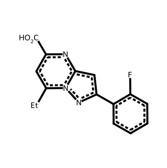 CCc1cc(C(=O)O)nc2cc(-c3ccccc3F)nn12